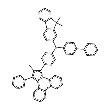 Cc1c(-c2ccccc2)c2c3ccccc3c3ccccc3n2c1-c1ccc(N(c2ccc(-c3ccccc3)cc2)c2ccc3c(c2)C(C)(C)c2ccccc2-3)cc1